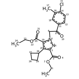 CCOC(=O)c1nn(CC(=O)c2ccc(Cl)c(C)c2)c(C(=O)OCC)c1C1CCC1